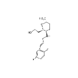 O=C(O)[C@@H]1CC[C@@H](NC/C=C/c2cc(F)ccc2F)[C@@H](CCO)O1